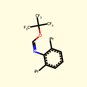 CC(C)c1cccc(C(C)C)c1/N=C\OC(C(F)(F)F)(C(F)(F)F)C(F)(F)F